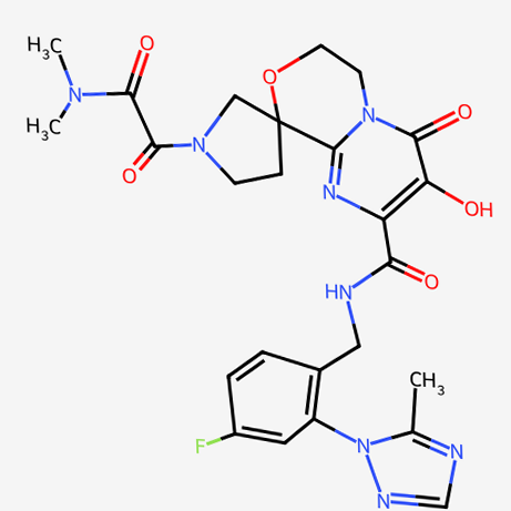 Cc1ncnn1-c1cc(F)ccc1CNC(=O)c1nc2n(c(=O)c1O)CCOC21CCN(C(=O)C(=O)N(C)C)C1